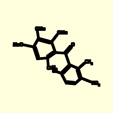 COc1cc(C)c(C(=O)c2c(C)ccc([N+](=O)[O-])c2C)c(OC)c1OC